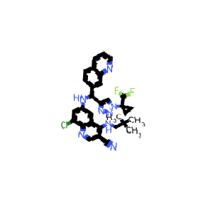 CC(C)(C)CNc1c(C#N)cnc2c(Cl)cc(NC(c3ccc4cccnc4c3)c3cn(C4(C(F)F)CC4)nn3)cc12